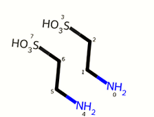 NCCS(=O)(=O)O.NCCS(=O)(=O)O